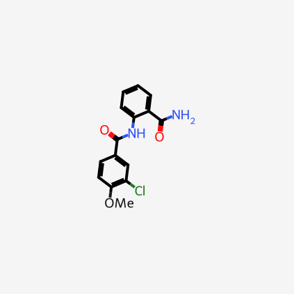 COc1ccc(C(=O)Nc2ccccc2C(N)=O)cc1Cl